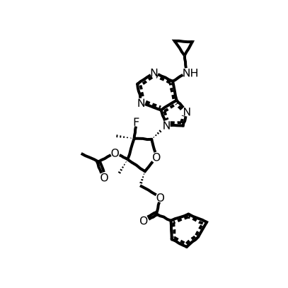 CC(=O)O[C@]1(C)[C@@H](COC(=O)c2ccccc2)O[C@@H](n2cnc3c(NC4CC4)ncnc32)[C@]1(C)F